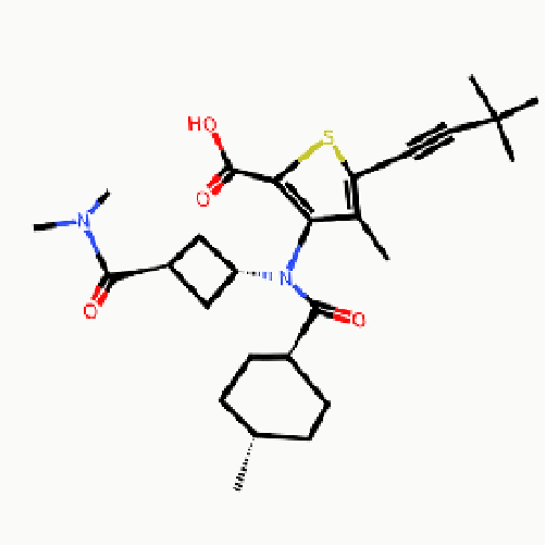 Cc1c(C#CC(C)(C)C)sc(C(=O)O)c1N(C(=O)[C@H]1CC[C@H](C)CC1)[C@H]1C[C@H](C(=O)N(C)C)C1